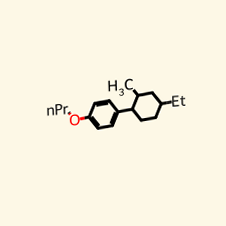 CCCOc1ccc(C2CCC(CC)CC2C)cc1